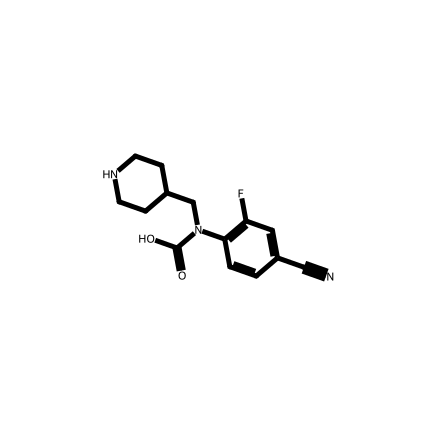 N#Cc1ccc(N(CC2CCNCC2)C(=O)O)c(F)c1